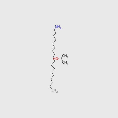 CC(C)O.CCCCCCCCCCCCCCCCCCN